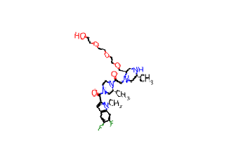 C[C@@H]1CN(CC(=O)N2CCN(C(=O)c3cc4cc(F)c(F)cc4n3C)C[C@H]2C)[C@@H](COCCOCCOCCO)CN1